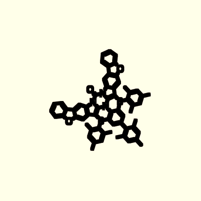 Cc1cc(C)c(B2c3cc(-c4c(C)cc(C)cc4C)cc4c3-n3c5c2c2cc6oc7ccccc7c6cc2n5c(=O)n2c5cc6c(cc5c(c32)B4c2c(C)cc(C)cc2C)oc2ccccc26)c(C)c1